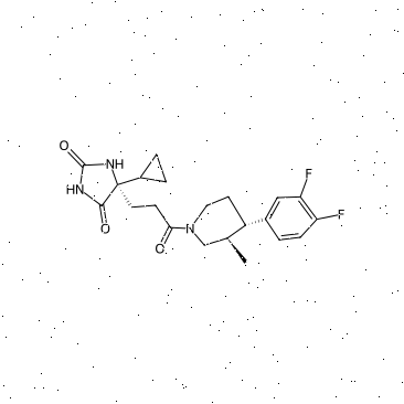 C[C@H]1CN(C(=O)CC[C@@]2(C3CC3)NC(=O)NC2=O)CC[C@@H]1c1ccc(F)c(F)c1